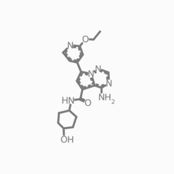 CCOc1cc(-c2cc(C(=O)NC3CCC(O)CC3)c3c(N)ncnn23)ccn1